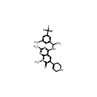 Cc1nc(NC(C)c2cc(N)cc(C(F)(F)F)c2)c2cc(C3=CCNCC3)c(=O)n(C)c2n1